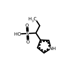 CCC(c1cc[nH]c1)S(=O)(=O)O